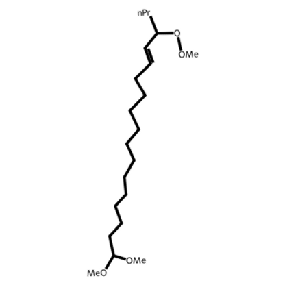 CCCC(C=CCCCCCCCCCCCC(OC)OC)OOC